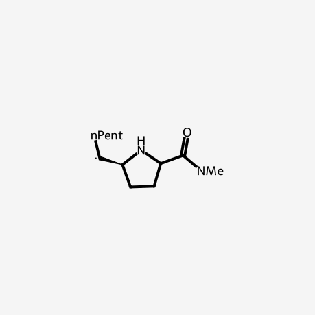 CCCCC[CH][C@@H]1CCC(C(=O)NC)N1